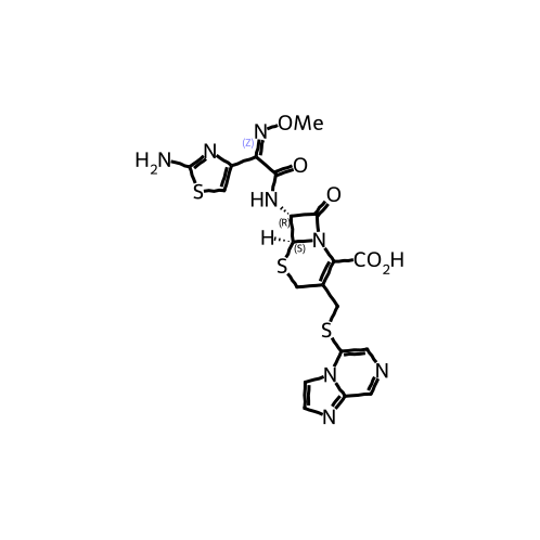 CO/N=C(\C(=O)N[C@@H]1C(=O)N2C(C(=O)O)=C(CSc3cncc4nccn34)CS[C@@H]12)c1csc(N)n1